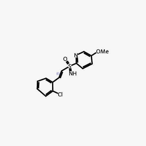 COc1ccc(S(=N)(=O)/C=C/c2ccccc2Cl)nc1